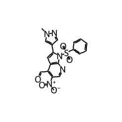 Cn1cc(-c2cc3c(C=O)c([N+](=O)[O-])cnc3n2S(=O)(=O)c2ccccc2)cn1